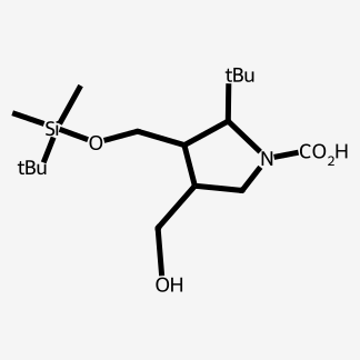 CC(C)(C)C1C(CO[Si](C)(C)C(C)(C)C)C(CO)CN1C(=O)O